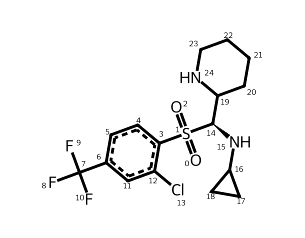 O=S(=O)(c1ccc(C(F)(F)F)cc1Cl)[C@H](NC1CC1)C1CCCCN1